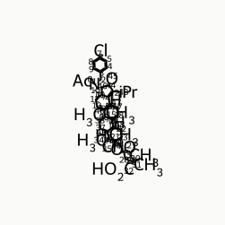 CC(=O)N(Cc1ccc(Cl)cc1)C[C@@]12CC[C@]3(C)[C@H](CC[C@@H]4[C@@]5(C)CC[C@H](OC(=O)CC(C)(C)C(=O)O)C(C)(C)[C@@H]5CC[C@]43C)C1=C(C(C)C)C(=O)C2